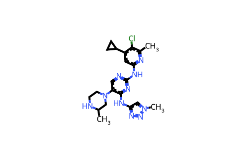 Cc1nc(Nc2ncc(N3CCNC(C)C3)c(Nc3cn(C)nn3)n2)cc(C2CC2)c1Cl